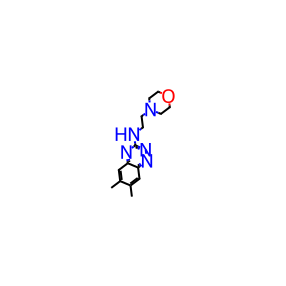 Cc1cc2nnc(NCCN3CCOCC3)nc2cc1C